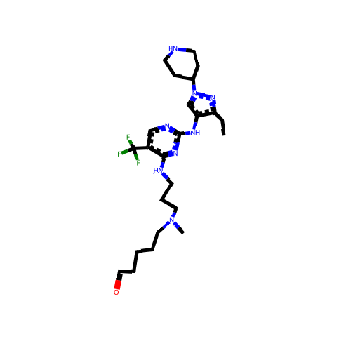 CCc1nn(C2CCNCC2)cc1Nc1ncc(C(F)(F)F)c(NCCCN(C)CCCCC=O)n1